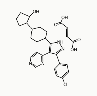 O=C(O)/C=C/C(=O)O.OC1CCCC1N1CCC(c2[nH]nc(-c3ccc(Cl)cc3)c2-c2ccncn2)CC1